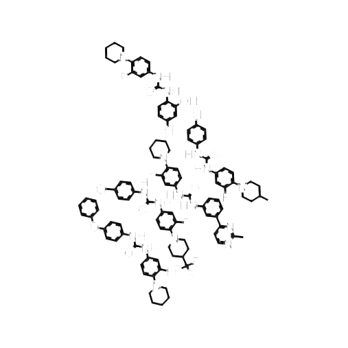 CC1CCN(c2ccc(NC(=O)Nc3ccc(Cl)cc3)cc2F)CC1.Cc1nccc(-c2cccc(NC(=O)Nc3ccc(N4CCCCC4)c(F)c3)c2)n1.O=C(Nc1ccc(Cl)cc1)Nc1ccc(N2CCC(C(F)(F)F)CC2)c(F)c1.O=C(Nc1ccc(N2CCCCC2)c(F)c1)Nc1ccc(Cl)cc1O.O=C(Nc1ccc(Oc2ccccc2)cc1)Nc1ccc(N2CCCCC2)c(F)c1